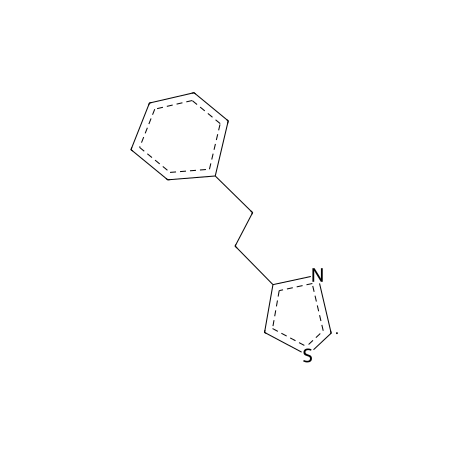 [c]1nc(CCc2ccccc2)cs1